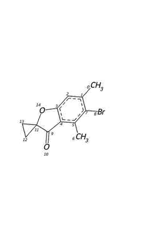 Cc1cc2c(c(C)c1Br)C(=O)C1(CC1)O2